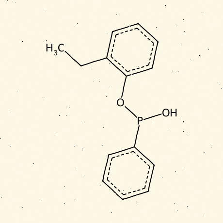 CCc1ccccc1OP(O)c1ccccc1